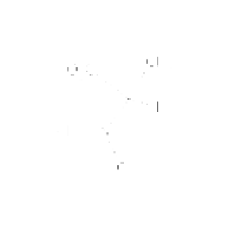 CCC(C)(C(=O)O)N(Cl)Cl